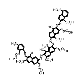 Nc1ccc(N=Nc2c(S(=O)(=O)O)cc3cc(SOOO)c(N=Nc4c(S(=O)(=O)O)cc5cc(SOOO)c(N=Nc6ccc7c(O)c(N=Nc8ccc9c(S(=O)(=O)O)cccc9c8S(=O)(=O)O)c(SOOO)cc7c6S(=O)(=O)O)c(N)c5c4O)cc3c2O)c(SOOO)c1